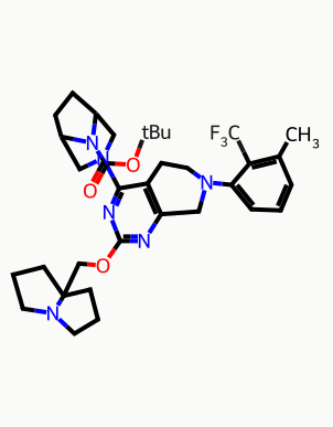 Cc1cccc(N2CCc3c(nc(OCC45CCCN4CCC5)nc3N3CC4CCC(C3)N4C(=O)OC(C)(C)C)C2)c1C(F)(F)F